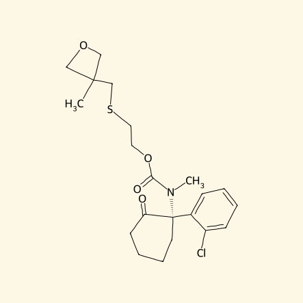 CN(C(=O)OCCSCC1(C)COC1)[C@]1(c2ccccc2Cl)CCCCC1=O